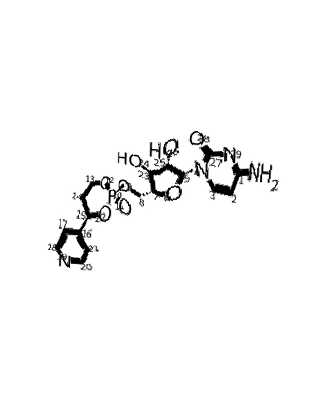 Nc1ccn([C@@H]2O[C@H](CO[P@]3(=O)OCC[C@H](c4ccncc4)O3)[C@@H](O)[C@@H]2O)c(=O)n1